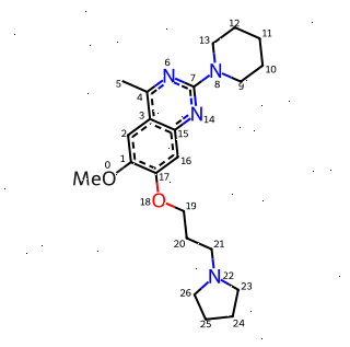 COc1cc2c(C)nc(N3CCCCC3)nc2cc1OCCCN1CCCC1